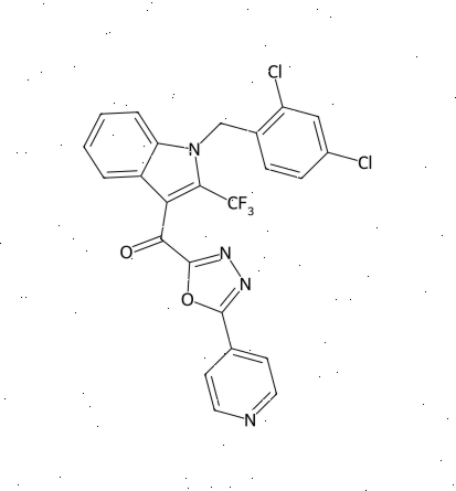 O=C(c1nnc(-c2ccncc2)o1)c1c(C(F)(F)F)n(Cc2ccc(Cl)cc2Cl)c2ccccc12